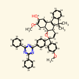 COC1=C(O)C=C2C3=C(C4C=CC(c5ccc(OC)cc5)(c5ccc(-c6nc(-c7ccccc7)nc(-c7ccccc7)n6)cc5)OC4C2C1)C(C)(C)c1ccccc13